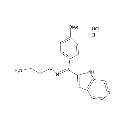 COc1ccc(C(=NOCCN)c2cc3ccncc3[nH]2)cc1.Cl.Cl